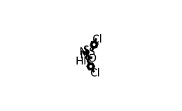 O=C(Nc1ccc(Cl)cc1)c1nnsc1Sc1ccc(Cl)cc1